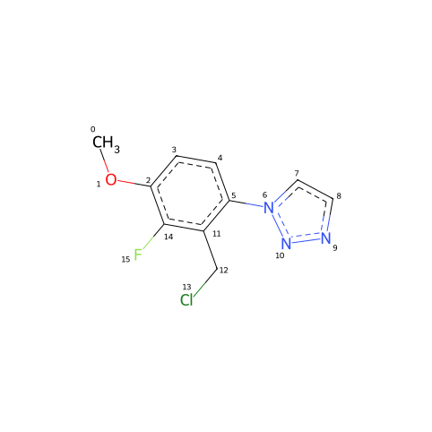 COc1ccc(-n2ccnn2)c(CCl)c1F